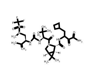 C=C(C)[C@@H](CN(C)S(=O)(=O)C(F)(F)F)NC(=O)N[C@H](C(=O)N1C[C@H]2[C@@H]([C@H]1C(=O)NC(CC1CCC1)C(=O)C(N)=O)C2(C)C)C(C)(C)C